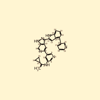 C=C(Nc1cncc(-c2cc3c(-c4cc5c(-c6cccnc6)cccc5[nH]4)n[nH]c3cn2)c1)C1CC1